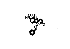 O=C(O)NC1CC=C2[C@@H](C1)CC1(CCC(=O)O1)[C@H]2COCc1ccccc1